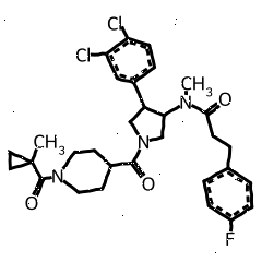 CN(C(=O)CCc1ccc(F)cc1)C1CN(C(=O)C2CCN(C(=O)C3(C)CC3)CC2)CC1c1ccc(Cl)c(Cl)c1